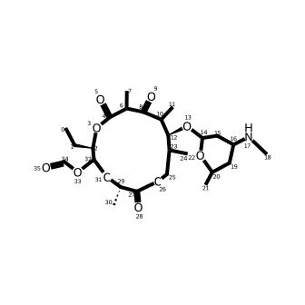 CC[C@H]1OC(=O)C(C)C(=O)C(C)[C@@H](OC2CC(NC)CC(C)O2)C(C)CCC(=O)[C@H](C)CC1OC=O